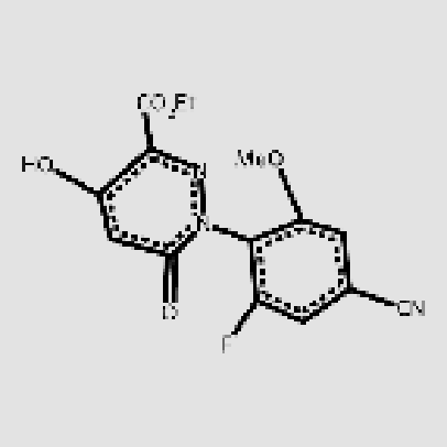 CCOC(=O)c1nn(-c2c(F)cc(C#N)cc2OC)c(=O)cc1O